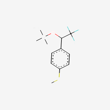 CSc1ccc(C(O[Si](C)(C)C)C(F)(F)F)cc1